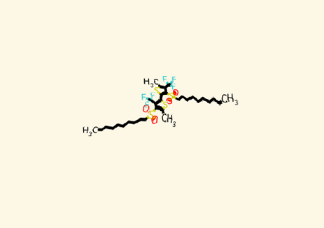 CCCCCCCCCCS(=O)(=O)c1c(C)sc(-c2sc(C)c(C(F)(F)F)c2S(=O)(=O)CCCCCCCCCC)c1C(F)(F)F